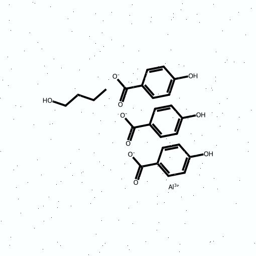 CCCCO.O=C([O-])c1ccc(O)cc1.O=C([O-])c1ccc(O)cc1.O=C([O-])c1ccc(O)cc1.[Al+3]